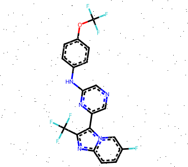 Fc1ccc2nc(C(F)(F)F)c(-c3cncc(Nc4ccc(OC(F)(F)F)cc4)n3)n2c1